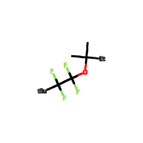 CCC(C)(C)OC(F)(F)C(F)(F)C(C)(C)C